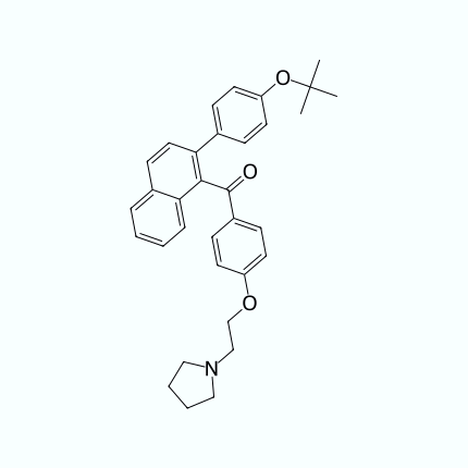 CC(C)(C)Oc1ccc(-c2ccc3ccccc3c2C(=O)c2ccc(OCCN3CCCC3)cc2)cc1